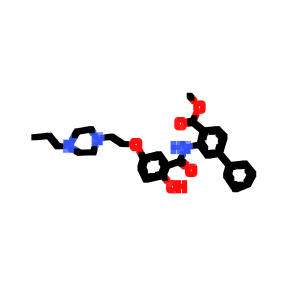 CCCN1CCN(CCOc2ccc(O)c(C(=O)Nc3cc(-c4ccccc4)ccc3C(=O)OC)c2)CC1